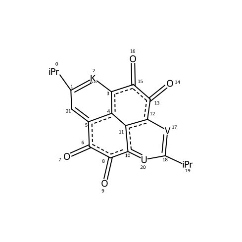 CC(C)[C]1=[K][c]2c3c(c(=O)c(=O)[c]4c-3[c](c(=O)c2=O)[V]=[C](C(C)C)[U]=4)=C1